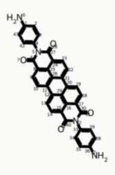 Nc1ccc(N2C(=O)c3ccc4c5ccc6c7c(ccc(c8ccc(c3c48)C2=O)c75)C(=O)N(c2ccc(N)cc2)C6=O)cc1